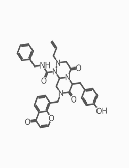 C=CCN1CC(=O)N2C(Cc3ccc(O)cc3)C(=O)N(Cc3cccc4c(=O)ccoc34)CC2N1C(=O)NCc1ccccc1